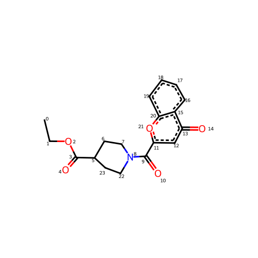 CCOC(=O)C1CCN(C(=O)c2cc(=O)c3ccccc3o2)CC1